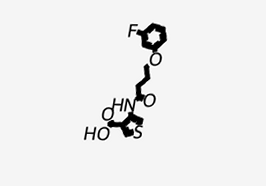 O=C(CCCOc1cccc(F)c1)Nc1cscc1C(=O)O